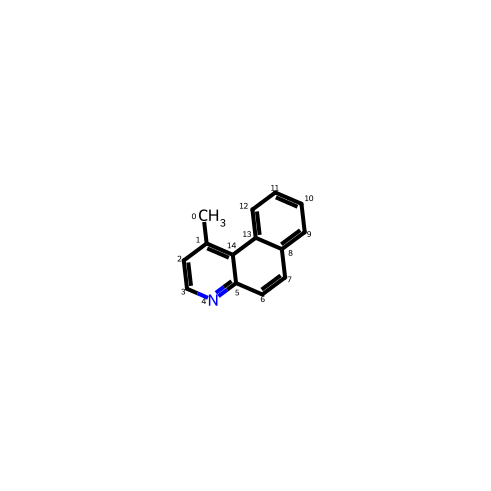 Cc1ccnc2ccc3ccccc3c12